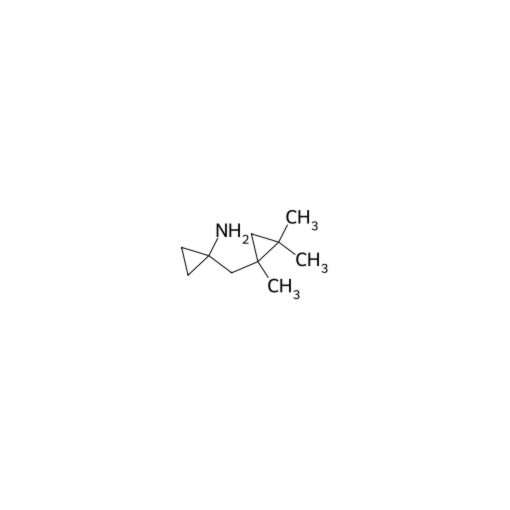 CC1(C)CC1(C)CC1(N)CC1